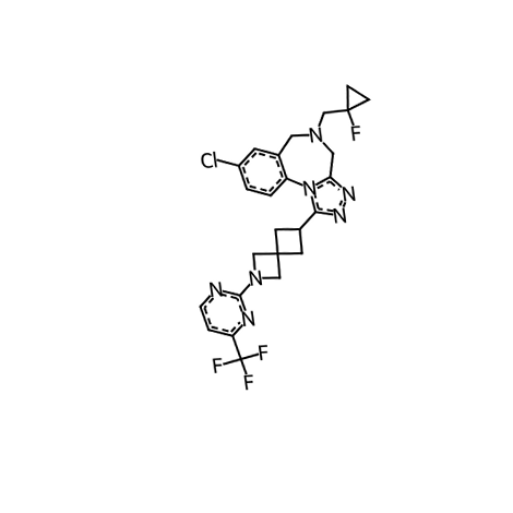 FC1(CN2Cc3cc(Cl)ccc3-n3c(nnc3C3CC4(C3)CN(c3nccc(C(F)(F)F)n3)C4)C2)CC1